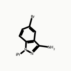 CC(C)n1nc(N)c2cc(Br)ccc21